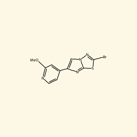 COc1cc(-c2cn3nc(Br)sc3n2)ccn1